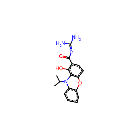 CC(C)N1c2ccccc2Oc2ccc(C(=O)N=C(N)N)c(O)c21